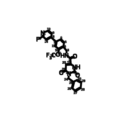 O=C(NCc1ccc(-c2ccnc(F)c2)cc1OC(F)(F)F)c1cc(=O)n(Cc2ccccc2)c(=O)[nH]1